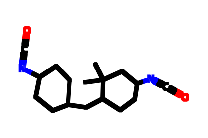 CC1(C)CC(N=C=O)CCC1CC1CCC(N=C=O)CC1